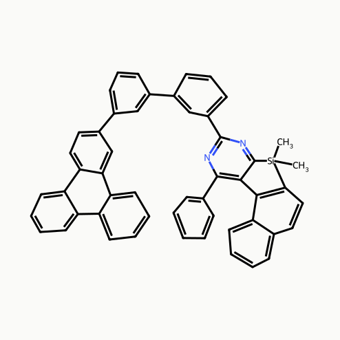 C[Si]1(C)c2ccc3ccccc3c2-c2c(-c3ccccc3)nc(-c3cccc(-c4cccc(-c5ccc6c7ccccc7c7ccccc7c6c5)c4)c3)nc21